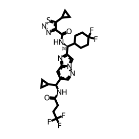 O=C(CCC(F)(F)F)NC(c1cnn2cc([C@@H](NC(=O)c3nnsc3C3CC3)C3CCC(F)(F)CC3)nc2c1)C1CC1